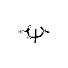 CN(C)CC(C)(C)NC(=O)O